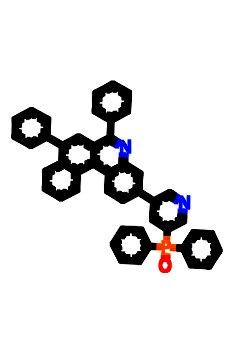 O=P(c1ccccc1)(c1ccccc1)c1cncc(-c2ccc3c(c2)nc(-c2ccccc2)c2cc(-c4ccccc4)c4ccccc4c23)c1